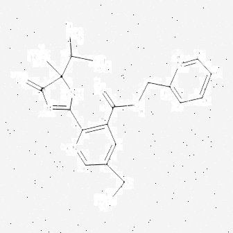 CCc1cnc(C2=NC(=O)C(C)(C(C)C)N2)c(C(=O)OCc2ccccn2)c1